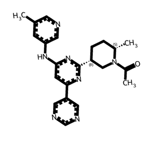 CC(=O)N1C[C@H](c2nc(Nc3cncc(C)c3)cc(-c3cncnc3)n2)CC[C@@H]1C